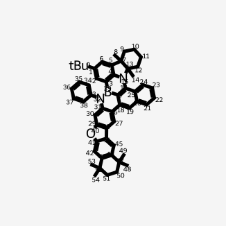 CC(C)(C)c1cc2c3c(c1)C1(C)CCCCC1(C)N3c1c3c(cc4ccccc14)-c1cc4c(cc1N(c1ccccc1)B23)oc1cc2c(cc14)C(C)(C)CCC2(C)C